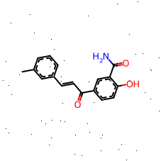 Cc1cccc(/C=C/C(=O)c2ccc(O)c(C(N)=O)c2)c1